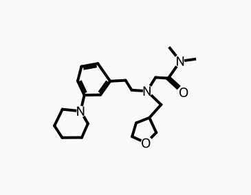 CN(C)C(=O)CN(CCc1cccc(N2CCCCC2)c1)CC1CCOC1